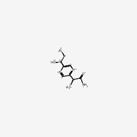 CC(C(N)=O)c1cnc([C@@H](O)CO)cn1